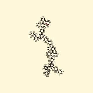 c1ccc(-c2ccc(-c3nc(-c4ccc(-c5c6ccccc6c(-c6cccc7c(-c8cccc(-c9ccc(-c%10nc(-c%11ccc(-c%12c%13ccccc%13c(-c%13ccccc%13-c%13ccccc%13)c%13ccccc%12%13)cc%11)nc(-c%11cccc%12c%11oc%11ccccc%11%12)n%10)cc9)c8)cccc67)c6ccccc56)cc4)nc(-c4cccc5c4oc4ccccc45)n3)cc2)cc1